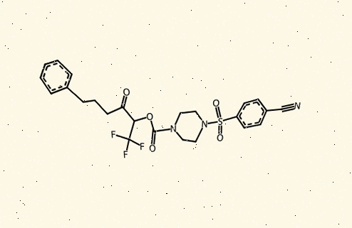 N#Cc1ccc(S(=O)(=O)N2CCN(C(=O)OC(C(=O)CCCc3ccccc3)C(F)(F)F)CC2)cc1